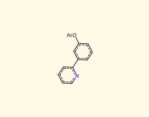 CC(=O)Oc1cccc(-c2c[c]ccn2)c1